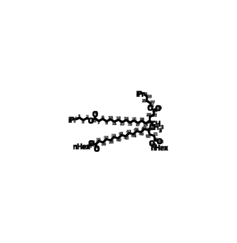 CC(C)CCCOC(=O)CCCCCCCCCCCCCC(C)CCC(=O)OCCCC(C)C.CCCCCCOC(=O)CCCCCCCCCCCCCC(C)CCC(=O)OCCCCCC